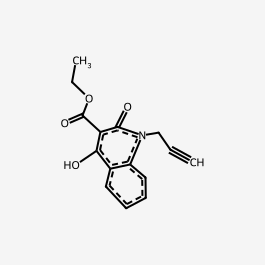 C#CCn1c(=O)c(C(=O)OCC)c(O)c2ccccc21